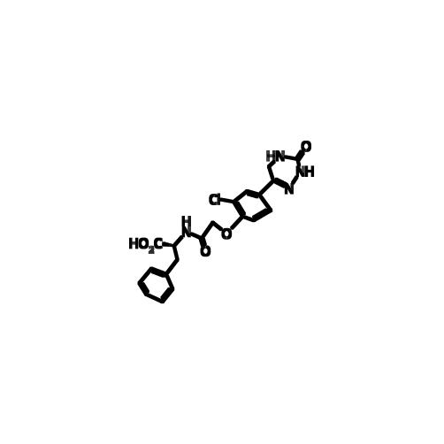 O=C(COc1ccc(C2=NNC(=O)NC2)cc1Cl)N[C@@H](Cc1ccccc1)C(=O)O